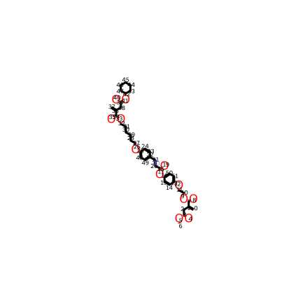 C=C(CC(=O)OC)C(=O)OCCOc1ccc(OC(=O)/C=C/c2ccc(OCCCCCCOC(=O)C(=C)CC(=O)OC3CCCCC3)cc2)cc1